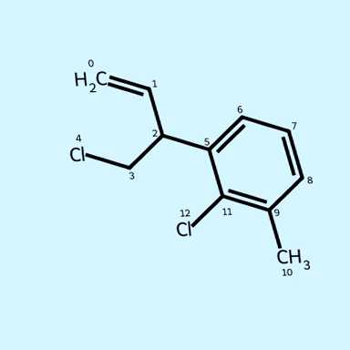 C=CC(CCl)c1cccc(C)c1Cl